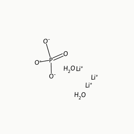 O.O.O=P([O-])([O-])[O-].[Li+].[Li+].[Li+]